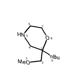 CCCCC1(COC)CNCCO1